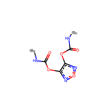 CC(C)(C)NC(=O)Oc1nonc1OC(=O)NC(C)(C)C